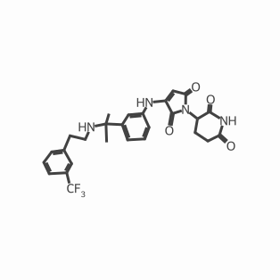 CC(C)(NCCc1cccc(C(F)(F)F)c1)c1cccc(NC2=CC(=O)N(C3CCC(=O)NC3=O)C2=O)c1